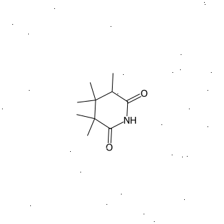 CC1C(=O)NC(=O)C(C)(C)C1(C)C